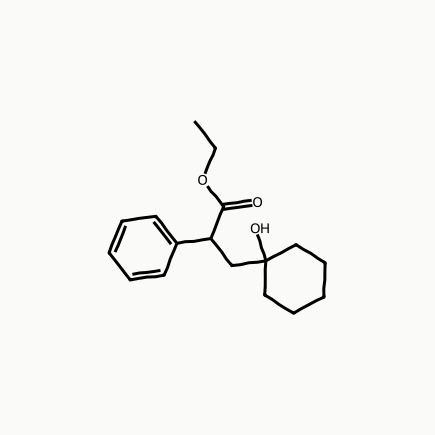 CCOC(=O)C(CC1(O)CCCCC1)c1ccccc1